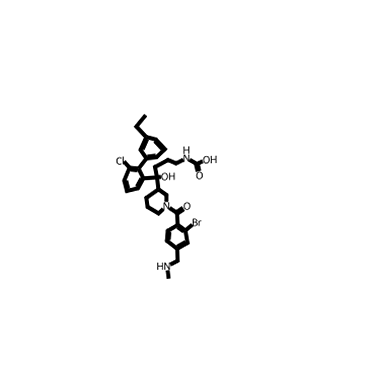 CCc1cccc(-c2c(Cl)cccc2C(O)(CCCNC(=O)O)C2CCCN(C(=O)c3ccc(CNC)cc3Br)C2)c1